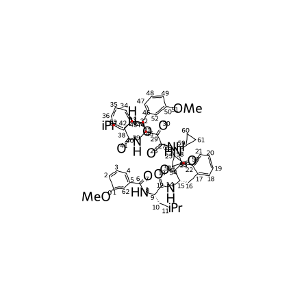 COc1cccc(C(=O)N[C@@H](CC(C)C)C(=O)N[C@@H](Cc2ccccc2C2CC2NC(=O)C(=O)[C@H](Cc2ccccc2)NC(=O)[C@@H](NC(=O)c2cccc(OC)c2)C(C)C)C(=O)C(=O)NC2CC2)c1